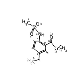 CCc1ccc(NS(C)(=O)=O)c(C(=O)OC)c1